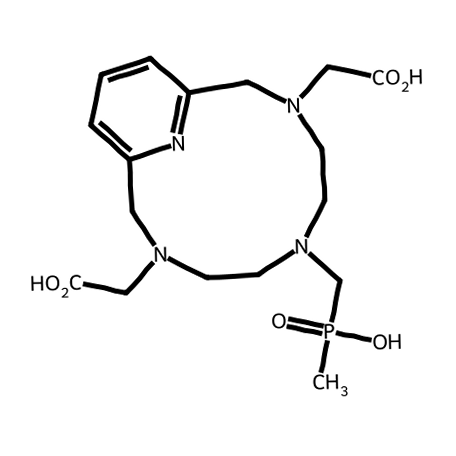 CP(=O)(O)CN1CCN(CC(=O)O)Cc2cccc(n2)CN(CC(=O)O)CC1